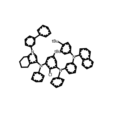 CC(C)(C)c1ccc(N(c2cccc(N(c3ccccc3)c3cc(C(C)(C)C)cc(N(c4ccccc4)c4cn(-c5cccc(-c6ccccc6)c5)c5c4CCCC5)c3Cl)c2)c2cccc3ccccc23)cc1